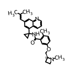 CC(C)=Cc1cc(C2(NC(=O)c3cc(OC[C@@H]4CCN4C)ccc3C)CC2)c2cccnc2c1